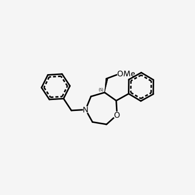 COC[C@@H]1CN(Cc2ccccc2)CCOC1c1ccccc1